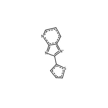 c1csc(C2=[N+]=c3cccnc3=N2)c1